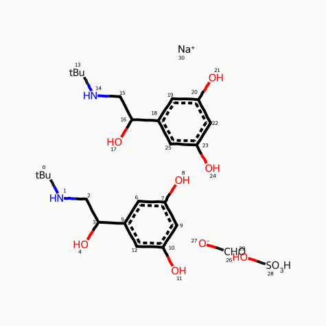 CC(C)(C)NCC(O)c1cc(O)cc(O)c1.CC(C)(C)NCC(O)c1cc(O)cc(O)c1.O=C[O-].O=S(=O)(O)O.[Na+]